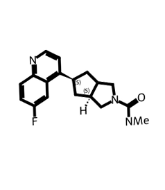 CNC(=O)N1CC2C[C@H](c3ccnc4ccc(F)cc34)C[C@@H]2C1